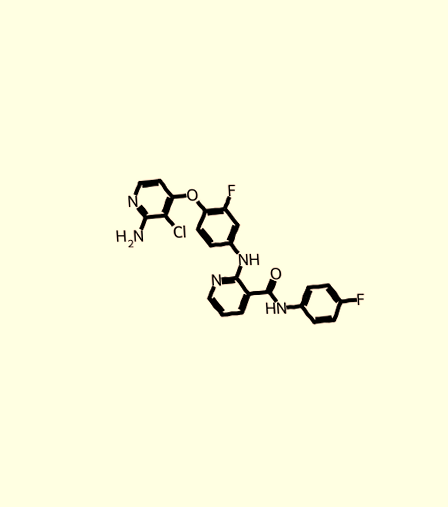 Nc1nccc(Oc2ccc(Nc3ncccc3C(=O)Nc3ccc(F)cc3)cc2F)c1Cl